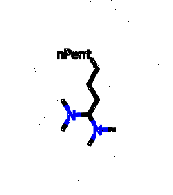 CCCCCCCCC(N(C)C)N(C)C